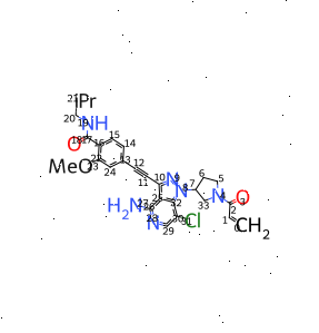 C=CC(=O)N1CCC(n2nc(C#Cc3ccc(C(=O)NCC(C)C)c(OC)c3)c3c(N)ncc(Cl)c32)C1